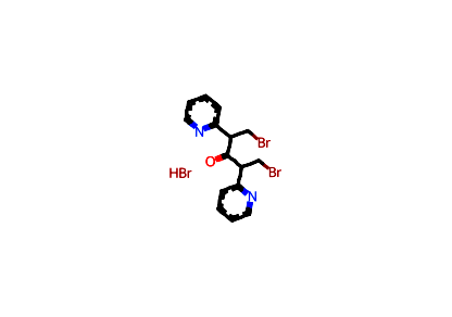 Br.O=C(C(CBr)c1ccccn1)C(CBr)c1ccccn1